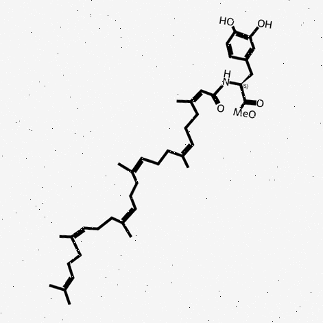 COC(=O)[C@H](Cc1ccc(O)c(O)c1)NC(=O)C=C(C)CCC=C(C)CCC=C(C)CCC=C(C)CCC=C(C)CCC=C(C)C